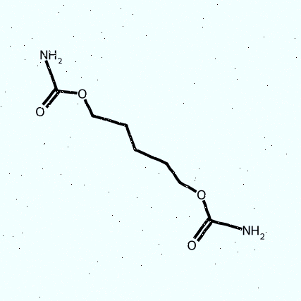 NC(=O)OCCCCCOC(N)=O